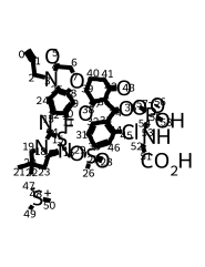 C#CCN1C(=O)COc2cc(F)c(/N=c3\snc4n3CC(C)(C)C4)cc21.CS(=O)(=O)c1ccc(C(=O)C2C(=O)CCCC2=O)c(Cl)c1.C[S+](C)C.O=C(O)CNCP(=O)([O-])O